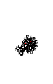 CC1([NH2+]C2(C)CCCC2)CCCC1.Fc1c(F)c(F)c([B-](c2c(F)c(F)c(F)c(F)c2F)(c2c(F)c(F)c(F)c(F)c2F)c2c(F)c(F)c(F)c(F)c2F)c(F)c1F